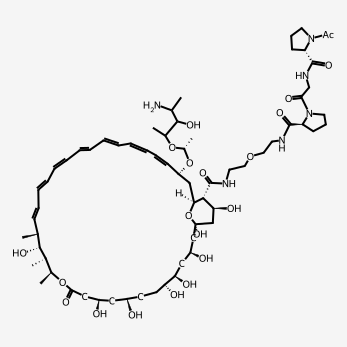 CC(=O)N1CCC[C@H]1C(=O)NCC(=O)N1CCC[C@H]1C(=O)NCCOCCNC(=O)[C@H]1[C@@H]2C[C@@H](O[C@@H](C)OC(C)C(O)C(C)N)/C=C/C=C/C=C/C=C/C=C/C=C/C=C/[C@H](C)[C@@H](O)[C@@H](C)[C@H](C)OC(=O)C[C@H](O)C[C@H](O)CC[C@@H](O)[C@H](O)C[C@H](O)C[C@](O)(C[C@@H]1O)O2